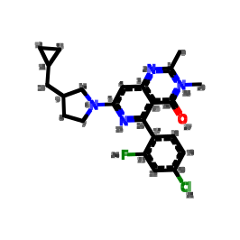 Cc1nc2cc(N3CCC(CC4CC4)C3)nc(-c3ccc(Cl)cc3F)c2c(=O)n1C